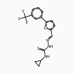 FC(F)(F)c1cccc(-c2ccc(C=NNC(=S)NC3CC3)o2)c1